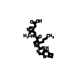 CCCCc1c(C(=O)NCc2c(C)ncn2CC(=O)O)cnn1-c1ncc(Br)c(NC2CCC2)n1